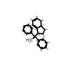 CC(c1ccccc1)(c1ccccc1)C1CCC2CC=CC=C21